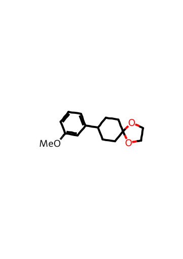 COc1cccc(C2CCC3(CC2)OCCO3)c1